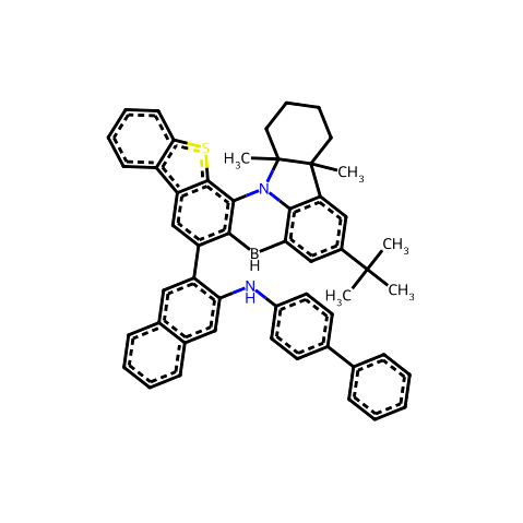 CC(C)(C)c1cc2c3c(c1)C1(C)CCCCC1(C)N3c1c(c(-c3cc4ccccc4cc3Nc3ccc(-c4ccccc4)cc3)cc3c1sc1ccccc13)B2